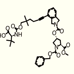 COC(=O)[C@@H]1C[C@@H](OC(=O)N2Cc3cccc(C#CCCC(C)(C)COC(=O)N[C@H](C(=O)O)C(C)(C)C)c3C2)CN1C(=O)OCc1ccccc1